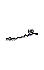 C#CC(O)/C=C/CCCCCCCCCCCCCCC